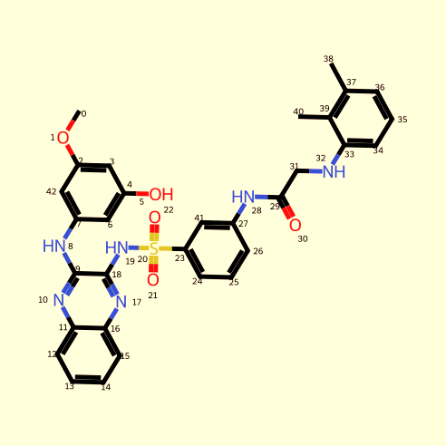 COc1cc(O)cc(Nc2nc3ccccc3nc2NS(=O)(=O)c2cccc(NC(=O)CNc3cccc(C)c3C)c2)c1